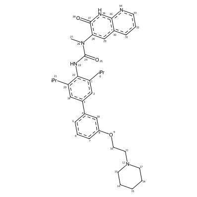 CC(C)c1cc(-c2cccc(OCCN3CCCCC3)c2)cc(C(C)C)c1NC(=O)N(C)c1cc2cccnc2[nH]c1=O